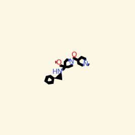 COCC1(CN[C@@H]2C[C@H]2c2ccccc2)CCN(C(=O)C2CCN(C)CC2)CC1